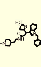 Cl.O=C(CC(c1cscn1)c1cn(Cc2ccccc2)c2ccccc12)NCCC1CCNCC1